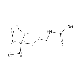 CCCC[CH]CCCC(=O)NCCC[Si](OCC)(OCC)OCC